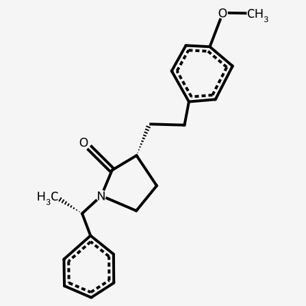 COc1ccc(CC[C@@H]2CCN([C@@H](C)c3ccccc3)C2=O)cc1